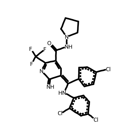 N=C1N=C(C(F)(F)F)C(C(=O)NN2CCCC2)=C/C1=C(/Nc1ccc(Cl)cc1Cl)c1ccc(Cl)cc1